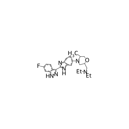 CCN(CC)CC1CN(c2ccc3nc(-c4n[nH]c5cc(F)ccc45)[nH]c3c2)C(C)CO1